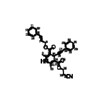 CC1=C(C(=O)OC/C=C/c2ccccc2)C(C#Cc2ccccc2)C(C(=O)OCCC#N)=C(C)N1